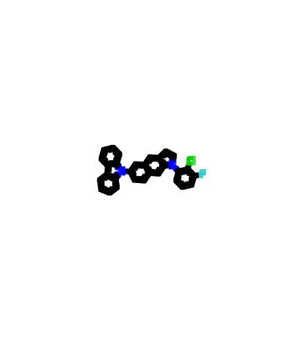 Fc1cccc(-n2ccc3cc4cc(-n5c6ccccc6c6ccccc65)ccc4cc32)c1Cl